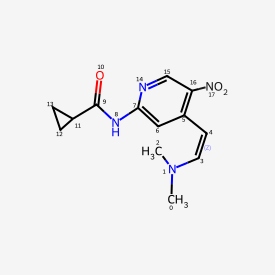 CN(C)/C=C\c1cc(NC(=O)C2CC2)ncc1[N+](=O)[O-]